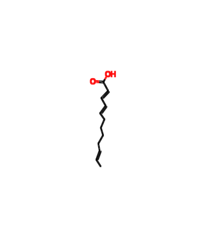 CC=CCCCCC=CC=CC(=O)O